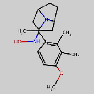 COc1ccc(C(C)N2C3CCC2CC(NO)C3)c(C)c1C